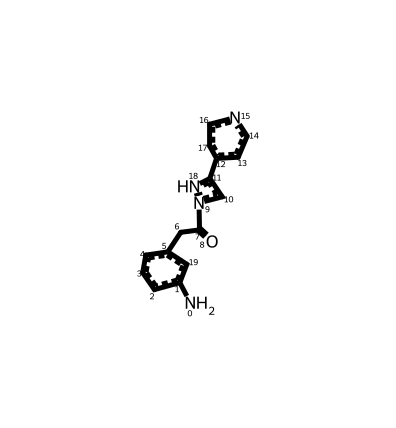 Nc1cccc(CC(=O)n2cc(-c3ccncc3)[nH]2)c1